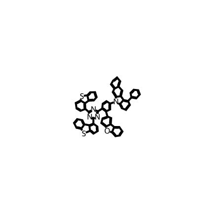 c1ccc(-c2cccc3c2c2cc4ccccc4cc2n3-c2ccc(-c3nc(-c4cccc5sc6ccccc6c45)nc(-c4cccc5sc6ccccc6c45)n3)c(-c3ccc4oc5ccccc5c4c3)c2)cc1